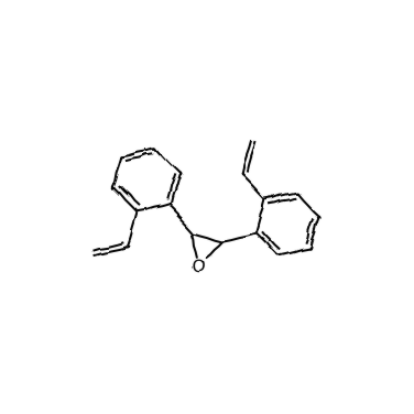 C=Cc1ccccc1C1OC1c1ccccc1C=C